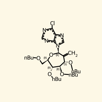 C=C1[C@H](n2cnc3c(Cl)ncnc32)O[C@H](COCCCC)[C@@H](OCCCC)[C@H](OCCCC)[C@H]1OCCCC